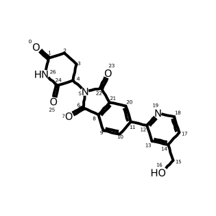 O=C1CCC(N2C(=O)c3ccc(-c4cc(CO)ccn4)cc3C2=O)C(=O)N1